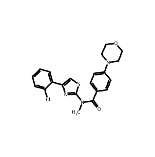 CN(C(=O)c1ccc(N2CCOCC2)cc1)c1nc(-c2ccccc2Cl)cs1